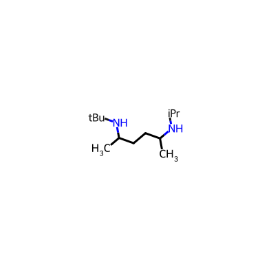 CC(C)NC(C)CCC(C)NC(C)(C)C